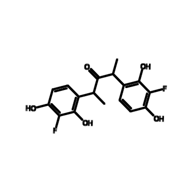 CC(C(=O)C(C)c1ccc(O)c(F)c1O)c1ccc(O)c(F)c1O